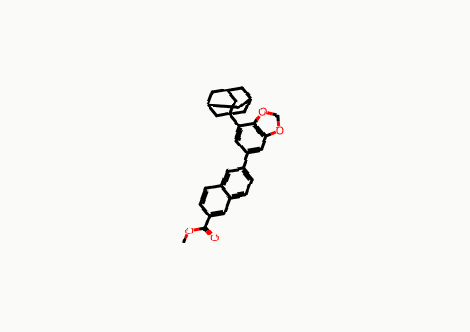 COC(=O)c1ccc2cc(-c3cc4c(c(C56CC7CC(CC(C7)C5)C6)c3)OCO4)ccc2c1